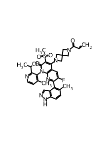 C=CC(=O)N1CC2(C1)CN(c1c(S(C)(=O)=O)c(=O)n(-c3c(C)ccnc3C(C)C)c3nc(-c4c(C)ccc5[nH]ncc45)c(F)cc13)C2